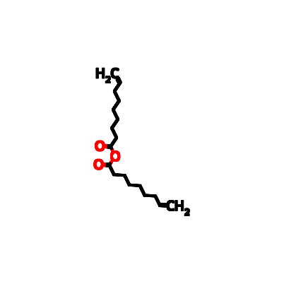 C=CCCCCCCC(=O)OC(=O)CCCCCCC=C